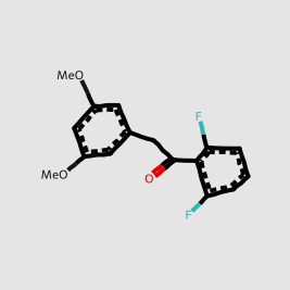 COc1cc(CC(=O)c2c(F)cccc2F)cc(OC)c1